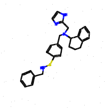 c1ccc(CNSc2ccc(CN(Cc3ncc[nH]3)C3CCCc4ccccc43)cc2)cc1